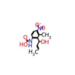 CC=CC(O)c1c(NC(=O)O)ccc([N+](=O)[O-])c1C